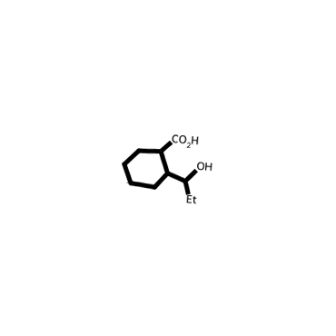 CCC(O)C1C[CH]CCC1C(=O)O